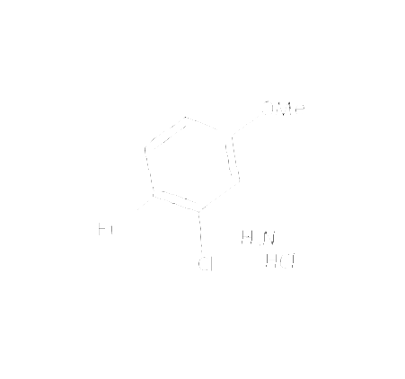 CCc1ccc(OC)cc1Cl.Cl.N